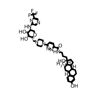 C[C@]12CC[C@@H]3c4ccc(O)cc4CC[C@H]3[C@@H]1CC[C@@]2(O)CCCNC(=O)c1ccc(N2CCN(C[C@H]3OC[C@H](Nc4cncc(C(F)(F)F)n4)[C@@H](O)[C@H]3O)CC2)nn1